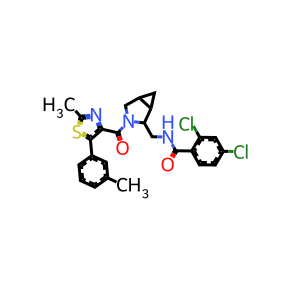 Cc1cccc(-c2sc(C)nc2C(=O)N2CC3CC3C2CNC(=O)c2ccc(Cl)cc2Cl)c1